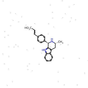 C[C@@H]1Cc2c([nH]c3ccccc23)[C@@H](c2ccc(/C=C/C(=O)O)cc2)N1